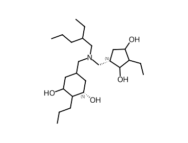 CCCC(CC)CN(CC1CC(O)C(CCC)[C@@H](O)C1)C[C@@H]1CC(O)C(CC)C1O